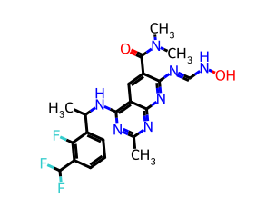 Cc1nc(NC(C)c2cccc(C(F)F)c2F)c2cc(C(=O)N(C)C)c(N=CNO)nc2n1